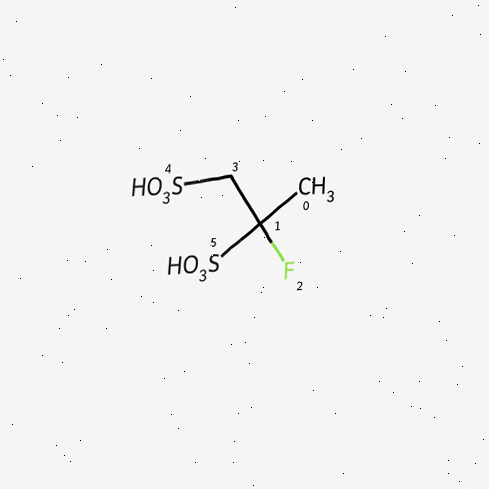 CC(F)(CS(=O)(=O)O)S(=O)(=O)O